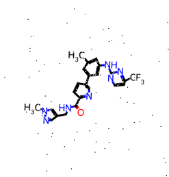 Cc1cc(Nc2nccc(C(F)(F)F)n2)cc(-c2ccc(C(=O)NCc3cnn(C)c3)nc2)c1